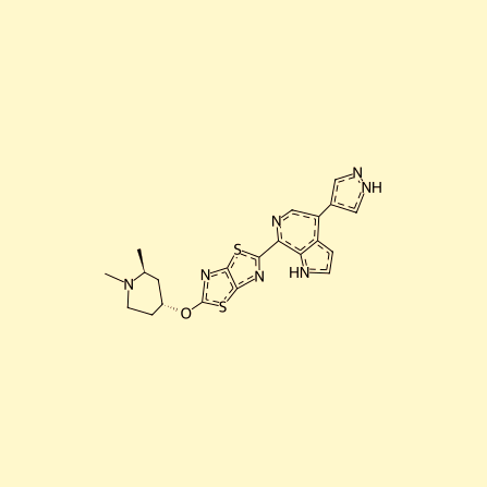 C[C@H]1C[C@H](Oc2nc3sc(-c4ncc(-c5cn[nH]c5)c5cc[nH]c45)nc3s2)CCN1C